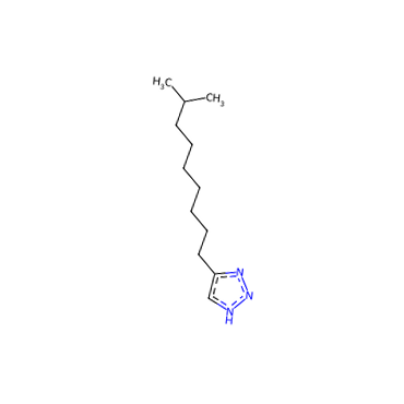 CC(C)CCCCCCCc1c[nH]nn1